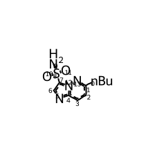 CCCCc1ccc2ncc(S(N)(=O)=O)n2n1